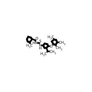 Cc1cc(C)c(C)c(Oc2ccc(NC(=S)NC(=O)c3ccccc3C)cc2C(C)C)c1